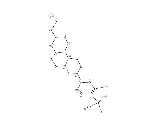 CCCC1CCC2C(CCC3CC(c4ccc(C(F)(F)F)c(F)c4)CCC32)C1